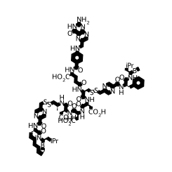 C=B[C@H](CC(C)C)NC(=O)[C@H](Cc1ccccc1)NC(=O)c1cnc(CSSC[C@H](NC(=O)CC[C@H](NC(=O)c2ccc(NCc3cnc4nc(N)[nH]c(=O)c4n3)cc2)C(=O)O)C(=O)N[C@@H](CC(=O)O)C(=O)N[C@@H](CC(=O)O)C(=O)N[C@@H](CC(=O)O)C(=O)N[C@H](C)CSSCc2cnc(C(=O)N[C@@H](C/C=C/CCC=C)C(=O)N[C@H](B=O)CC(C)C)cn2)cn1